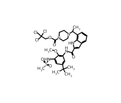 COc1c(NC(=O)c2cc3cccc(C(C)N4CCN(C(=O)OCC(Cl)(Cl)Cl)CC4)c3[nH]2)cc(C(C)(C)C)cc1NS(C)(=O)=O